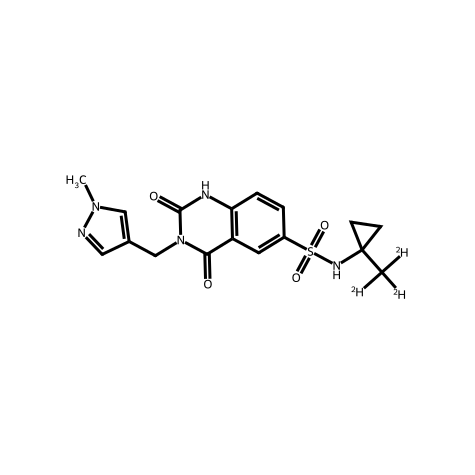 [2H]C([2H])([2H])C1(NS(=O)(=O)c2ccc3[nH]c(=O)n(Cc4cnn(C)c4)c(=O)c3c2)CC1